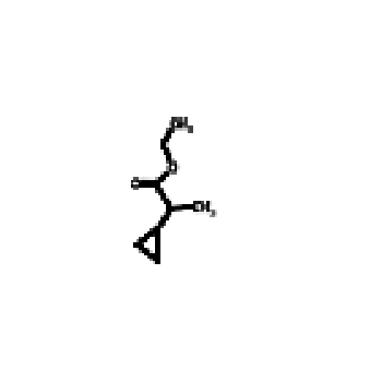 CCOC(=O)C(C)C1CC1